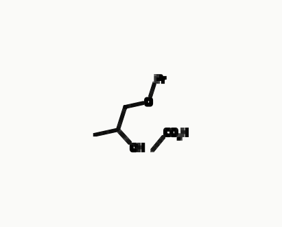 CC(=O)O.CC(O)COC(C)C